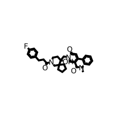 CN(C)C(=O)c1cn(CC2(O)CCN(C(=O)CCc3ccc(F)cc3)CC23CCCC3)c(=O)cc1-c1ccccc1